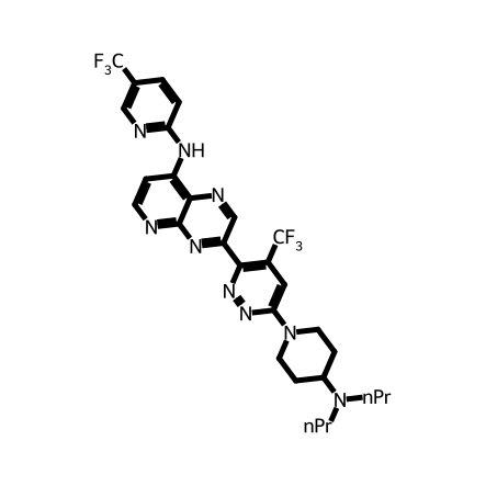 CCCN(CCC)C1CCN(c2cc(C(F)(F)F)c(-c3cnc4c(Nc5ccc(C(F)(F)F)cn5)ccnc4n3)nn2)CC1